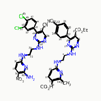 CCOC(=O)c1cnc(NCCNc2ccc(C(=O)O)c(C)n2)nc1-c1ccc(C#N)cc1.N#Cc1cnc(NCCNc2ccc([N+](=O)[O-])c(N)n2)nc1-c1ccc(Cl)c(Cl)c1